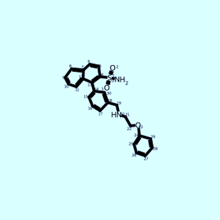 NS(=O)(=O)c1ccc2ccccc2c1-c1cccc(CNCCOc2ccccc2)c1